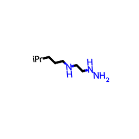 CC(C)CCCNCCNN